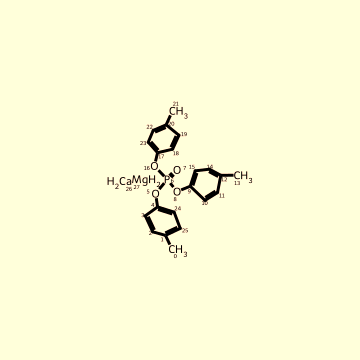 Cc1ccc(OP(=O)(Oc2ccc(C)cc2)Oc2ccc(C)cc2)cc1.[CaH2].[MgH2]